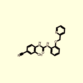 N#Cc1ccc(NC(=O)Nc2ccccc2OCc2ccccn2)c(O)c1